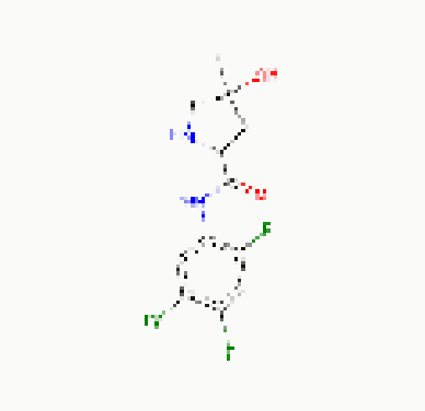 CC1(O)CNC(C(=O)Nc2cc(Cl)c(F)cc2F)C1